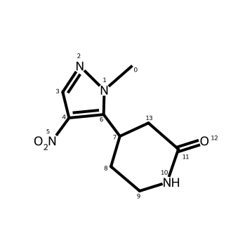 Cn1ncc([N+](=O)[O-])c1C1CCNC(=O)C1